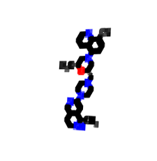 C[C@@H]1CN(c2ccc(C#N)c3ncccc23)C[C@H](CN2CCN(c3cc4c(cn3)CCN[C@@H]4C)CC2)O1